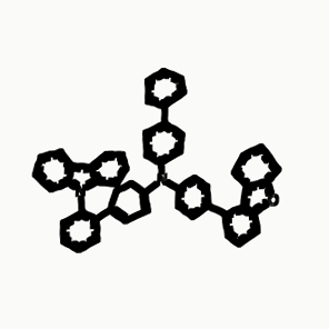 C1=C(c2ccccc2-n2c3ccccc3c3ccccc32)CCC(N(c2ccc(-c3ccccc3)cc2)c2ccc(-c3cccc4oc5ccccc5c34)cc2)=C1